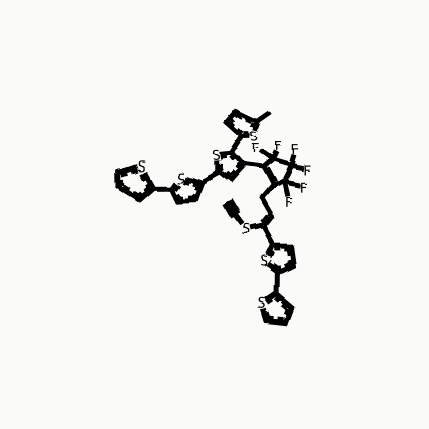 C#CS/C(=C\CC1=C(c2cc(-c3ccc(-c4cccs4)s3)sc2-c2ccc(C)s2)C(F)(F)C(F)(F)C1(F)F)c1ccc(-c2cccs2)s1